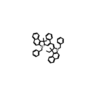 CCC1(C)/C(=C\C(=C\C2=[N+](Cc3ccccc3)c3ccc4ccccc4c3C2(C)C)c2ccccc2)N(Cc2ccccc2)c2ccc3ccccc3c21